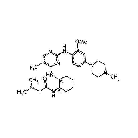 COc1cc(N2CCN(C)CC2)ccc1Nc1ncc(C(F)(F)F)c(N[C@@H]2CCCC[C@H]2NC(=O)CN(C)C)n1